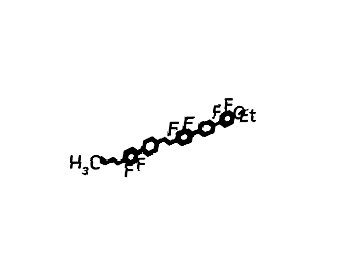 C/C=C/CCc1ccc(C2CCC(CCc3ccc(C4CCC(c5ccc(OCC)c(F)c5F)CC4)c(F)c3F)CC2)c(F)c1F